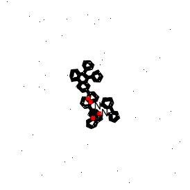 c1ccc(-c2ccccc2N(c2ccc(-c3ccc4c(c3)c(-c3ccccc3)c(-c3ccccc3)c3ccccc34)cc2)c2cccc3c4ccccc4n(-c4ccc5ccccc5c4)c23)cc1